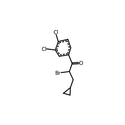 O=C(c1ccc(Cl)c(Cl)c1)C(Br)CC1CC1